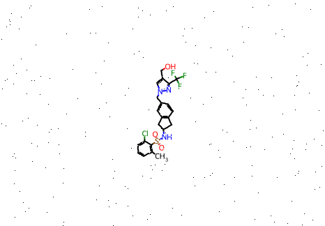 Cc1cccc(Cl)c1S(=O)(=O)NC1Cc2ccc(Cn3cc(CO)c(C(F)(F)F)n3)cc2C1